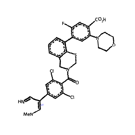 CN/C=C(\C=N)c1cc(Cl)c(C(=O)N2CSc3c(cccc3-c3cc(N4CCOCC4)c(C(=O)O)cc3F)C2)c(Cl)c1